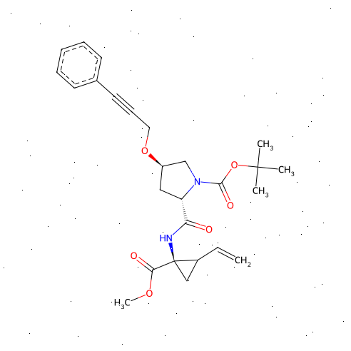 C=CC1C[C@]1(NC(=O)[C@@H]1C[C@@H](OCC#Cc2ccccc2)CN1C(=O)OC(C)(C)C)C(=O)OC